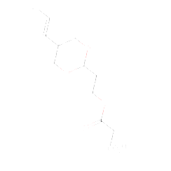 CCC=CC1COC(CCOC(=O)CC(=O)O)OC1